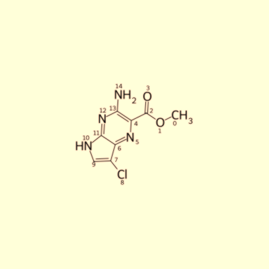 COC(=O)c1nc2c(Cl)c[nH]c2nc1N